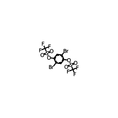 O=S(=O)(Oc1cc(Br)c(OS(=O)(=O)C(F)(F)F)cc1Br)C(F)(F)F